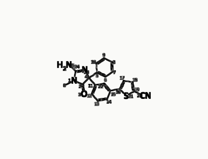 CN1C(=O)C(c2ccccc2)(c2cccc(-c3ccc(C#N)s3)c2)N=C1N